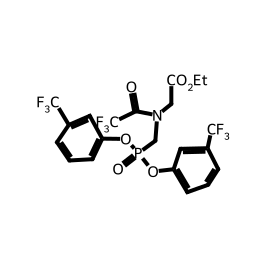 CCOC(=O)CN(CP(=O)(Oc1cccc(C(F)(F)F)c1)Oc1cccc(C(F)(F)F)c1)C(=O)C(F)(F)F